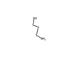 NSSSO